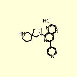 Cl.FC1(CNc2nc(-c3ccncc3)cc3nccnc23)CCCNC1